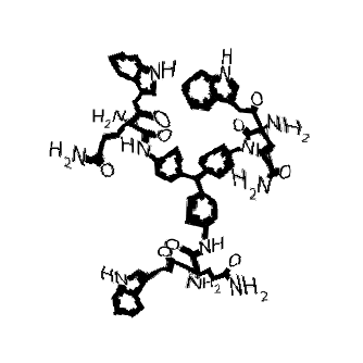 NC(=O)CC[C@@](N)(C(=O)Cc1c[nH]c2ccccc12)C(=O)Nc1ccc(C(c2ccc(NC(=O)[C@@](N)(CCC(N)=O)C(=O)Cc3c[nH]c4ccccc34)cc2)c2ccc(NC(=O)[C@@](N)(CCC(N)=O)C(=O)Cc3c[nH]c4ccccc34)cc2)cc1